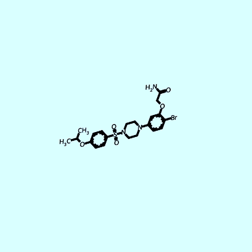 CC(C)Oc1ccc(S(=O)(=O)N2CCN(c3ccc(Br)c(OCC(N)=O)c3)CC2)cc1